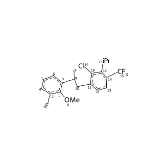 COc1c(F)cccc1C(C)Cc1ccc(C(F)(F)F)c(C(C)C)c1Cl